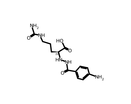 NC(=O)NCCC[C@H](NNC(=O)c1ccc(N)cc1)C(=O)O